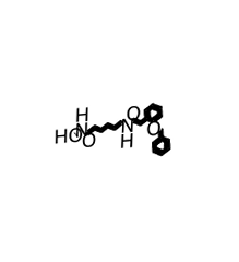 O=C(CCCCCNC(=O)Cc1ccccc1OCc1ccccc1)NO